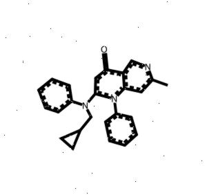 Cc1cc2c(cn1)c(=O)cc(N(CC1CC1)c1ccccc1)n2-c1ccccc1